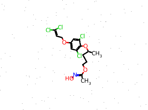 CC(=NO)OCCCC(C)Oc1c(Cl)cc(OCC=C(Cl)Cl)cc1Cl